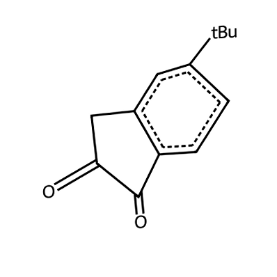 CC(C)(C)c1ccc2c(c1)CC(=O)C2=O